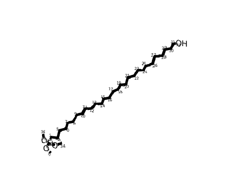 CO[Si](CCCCCCCCCCCCCCCCCCCCCCCCCCCCCO)(OC)OC